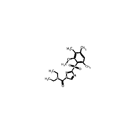 CCN(CC)C(=O)n1cnc(S(=O)(=O)c2c(C)cc(C)c(C)c2OC)n1